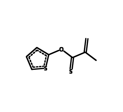 C=C(C)C(=S)Oc1cccs1